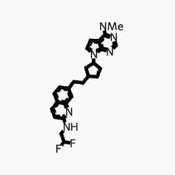 CNc1ncnc2c1ccn2C1CCC(CCc2ccc3ccc(NCC(F)F)nc3c2)C1